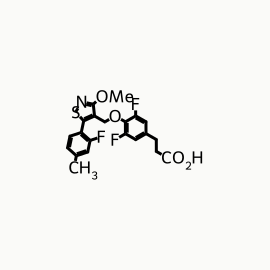 COc1nsc(-c2ccc(C)cc2F)c1COc1c(F)cc(CCC(=O)O)cc1F